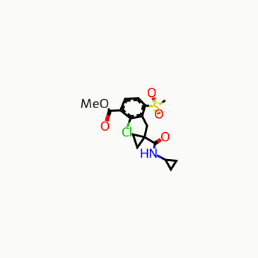 COC(=O)c1ccc(S(C)(=O)=O)c(CC2(C(=O)NC3CC3)CC2)c1Cl